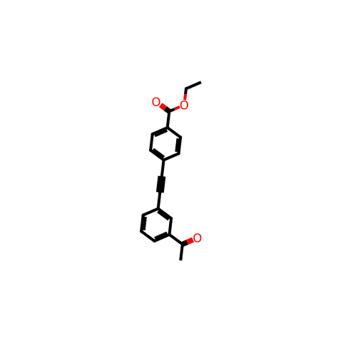 CCOC(=O)c1ccc(C#Cc2cccc(C(C)=O)c2)cc1